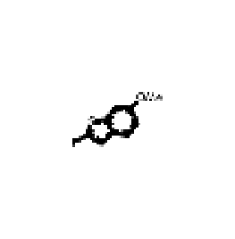 COc1ccc2cc(I)sc2c1